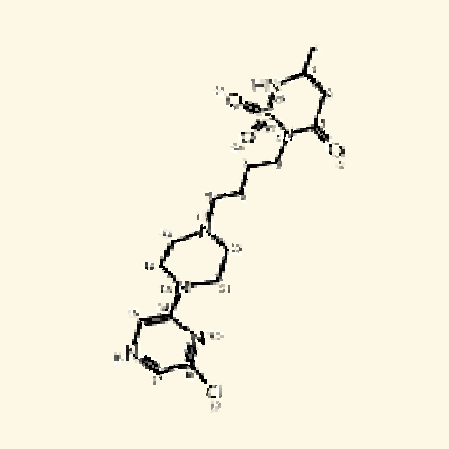 CC1CC(=O)N(CCCCN2CCN(c3cncc(Cl)n3)CC2)S(=O)(=O)N1